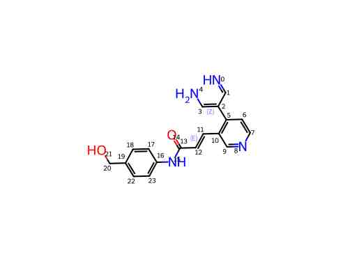 N=C/C(=C\N)c1ccncc1/C=C/C(=O)Nc1ccc(CO)cc1